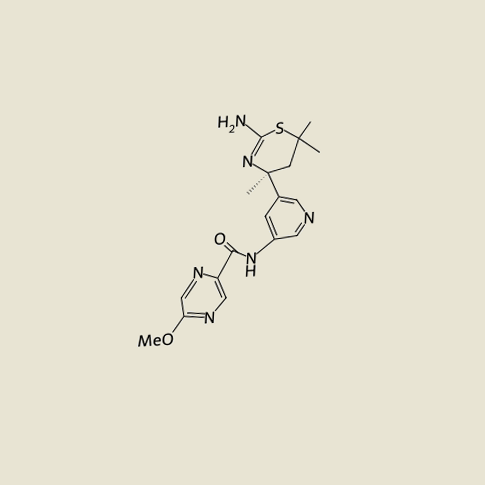 COc1cnc(C(=O)Nc2cncc([C@]3(C)CC(C)(C)SC(N)=N3)c2)cn1